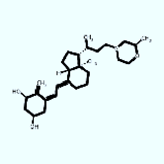 C=C1/C(=C\C=C2/CCC[C@]3(C)[C@@H](C(C)CCN4CCO[C@H](C)C4)CC[C@@H]23)C[C@@H](O)C[C@H]1O